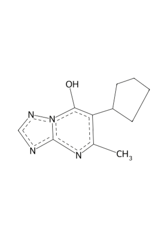 Cc1nc2ncnn2c(O)c1C1CCCC1